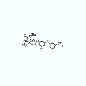 CC(C)(C)OC(=O)NC(C)(CCCc1ccc(Oc2cccc(C(F)(F)F)c2)cc1Cl)C(=O)O